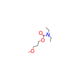 CCN(CC)C(=O)OCCCOC